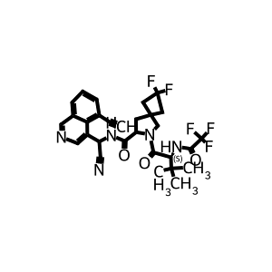 C#Cc1cccc2cncc(C(C#N)NC(=O)C3CC4(CN3C(=O)[C@@H](NC(=O)C(F)(F)F)C(C)(C)C)CC(F)(F)C4)c12